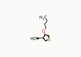 C#Cc1cscc1OCCCC